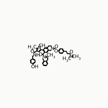 Cc1c(C(=O)NCc2ccc(O)cc2)cc(-c2cc3c(cc2C(=O)N2Cc4ccccc4C[C@H]2C)CN(C(=O)Oc2ccc(CCC(=O)N(C)C)cc2)CC3)n1C